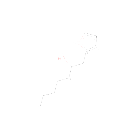 CCCCCC(O)Cc1ccco1